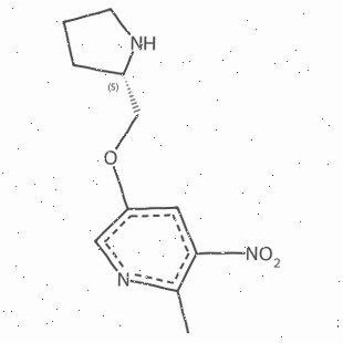 Cc1ncc(OC[C@@H]2CCCN2)cc1[N+](=O)[O-]